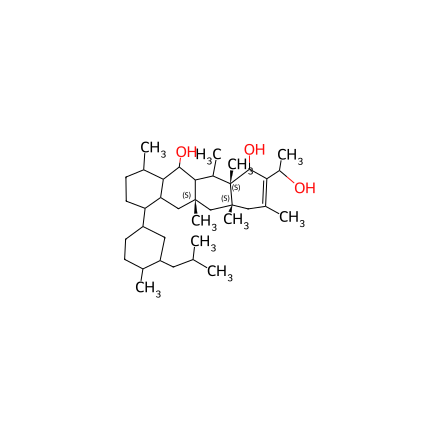 CC1=C(C(C)O)C(O)[C@@]2(C)C(C)C3C(O)C4C(C)CCC(C5CCC(C)C(CC(C)C)C5)C4C[C@@]3(C)C[C@@]2(C)C1